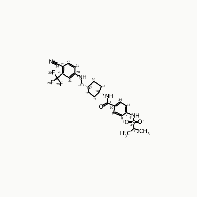 CC(C)S(=O)(=O)Nc1ccc(C(=O)N[C@H]2CC[C@@H](CNc3ccc(C#N)c(C(F)(F)F)c3)CC2)cc1